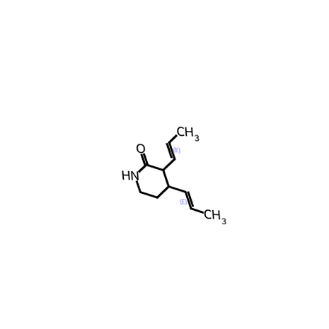 C/C=C/C1CCNC(=O)C1/C=C/C